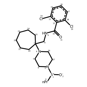 CCC[S+]([O-])N1CCN(C2(CNC(=O)c3c(Cl)cccc3Cl)CCCCCC2)CC1